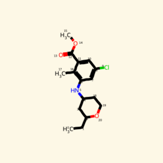 CCC1CC(Nc2cc(Cl)cc(C(=O)OC)c2C)CCO1